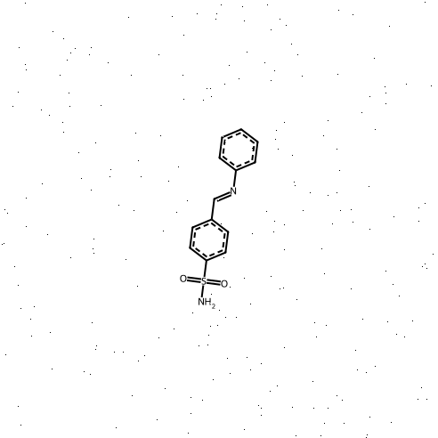 NS(=O)(=O)c1ccc(C=Nc2ccccc2)cc1